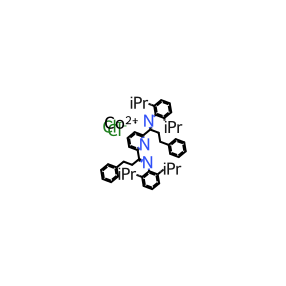 CC(C)c1cccc(C(C)C)c1N=C(CCc1ccccc1)c1cccc(C(CCc2ccccc2)=Nc2c(C(C)C)cccc2C(C)C)n1.[Cl-].[Cl-].[Co+2]